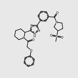 CS(=O)(=O)C1CCN(C(=O)c2cccc(-c3n[nH]c(C4CCCCN4C(=O)COc4ccccc4)n3)c2)C1